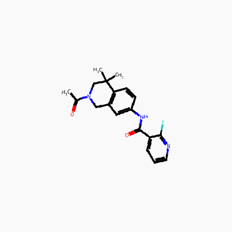 CC(=O)N1Cc2cc(NC(=O)c3cccnc3F)ccc2C(C)(C)C1